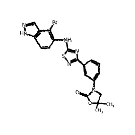 CC1(C)CN(c2cccc(-c3nsc(Nc4ccc5[nH]ncc5c4Br)n3)c2)C(=O)O1